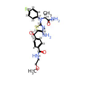 COCCNC(=O)c1ccc(C(=O)c2sc(N(c3ccc(F)cc3)[C@H](C)C(N)=O)nc2N)cc1